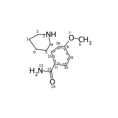 C1CCNCC1.COc1ccc(C(N)=O)cc1